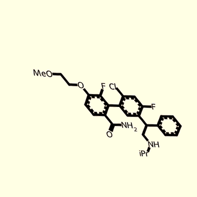 COCCOc1ccc(C(N)=O)c(-c2cc(C(CNC(C)C)c3ccccc3)c(F)cc2Cl)c1F